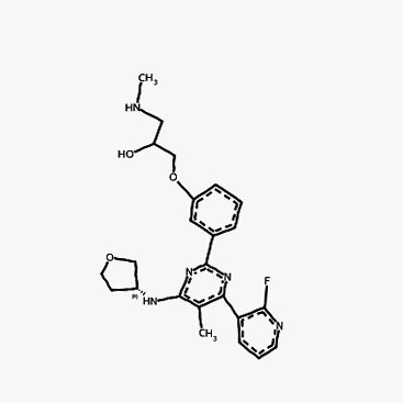 CNCC(O)COc1cccc(-c2nc(N[C@@H]3CCOC3)c(C)c(-c3cccnc3F)n2)c1